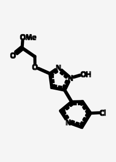 COC(=O)COc1cc(-c2cncc(Cl)c2)n(O)n1